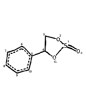 O=S1OCC(c2ccccc2)O1